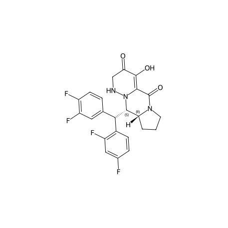 O=C1CNN2C(=C1O)C(=O)N1CCC[C@@H]1[C@@H]2C(c1ccc(F)c(F)c1)c1ccc(F)cc1F